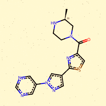 C[C@H]1CN(C(=O)c2csc(-c3cnn(-c4cncnc4)c3)n2)CCN1